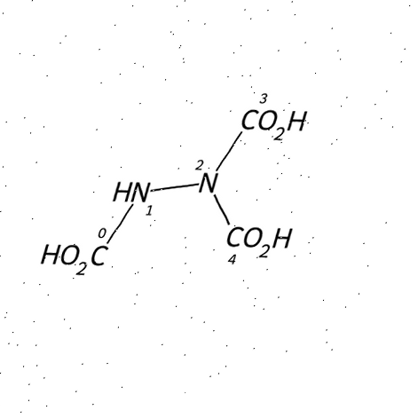 O=C(O)NN(C(=O)O)C(=O)O